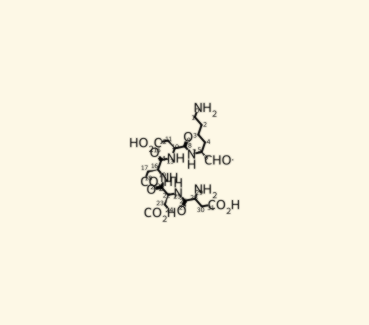 NCCCC[C@@H]([C]=O)NC(=O)[C@H](CC(=O)O)NC(=O)[C@H](CC(=O)O)NC(=O)[C@H](CC(=O)O)NC(=O)[C@@H](N)CC(=O)O